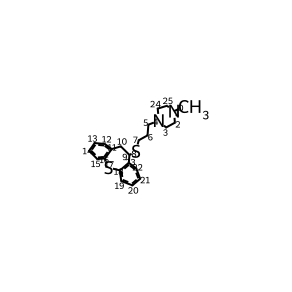 CN1CCN(CCCSC2Cc3ccccc3Sc3ccccc32)CC1